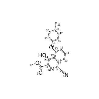 COC(=O)c1nc(C#N)c2cccc(Oc3ccc(F)cc3)c2c1O